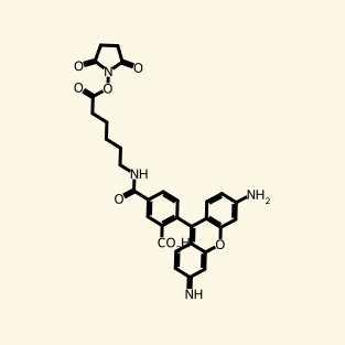 N=c1ccc2c(-c3ccc(C(=O)NCCCCCC(=O)ON4C(=O)CCC4=O)cc3C(=O)O)c3ccc(N)cc3oc-2c1